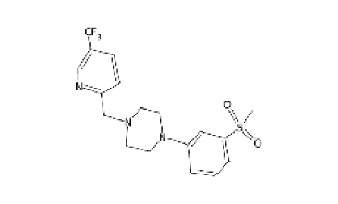 CS(=O)(=O)c1cccc(N2CCN(Cc3ccc(C(F)(F)F)cn3)CC2)c1